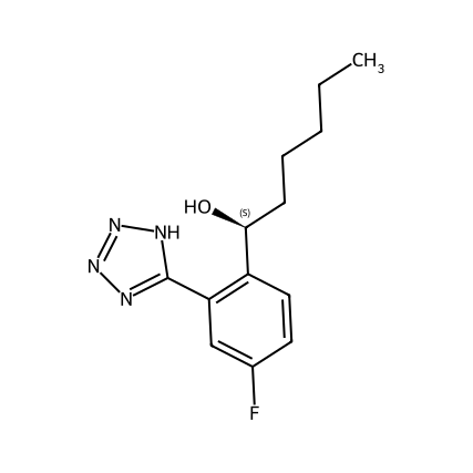 CCCCC[C@H](O)c1ccc(F)cc1-c1nnn[nH]1